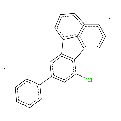 Clc1cc(-c2ccccc2)cc2c1-c1cccc3cccc-2c13